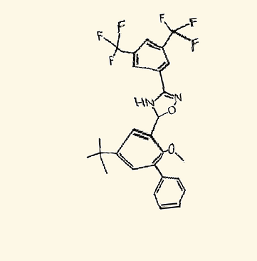 COc1c(-c2ccccc2)cc(C(C)(C)C)cc1C1NC(c2cc(C(F)(F)F)cc(C(F)(F)F)c2)=NO1